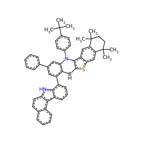 CC(C)(C)c1ccc(N2c3cc(-c4ccccc4)cc(-c4cccc5c4[nH]c4ccc6ccccc6c45)c3Bc3sc4cc5c(cc4c32)C(C)(C)CCC5(C)C)cc1